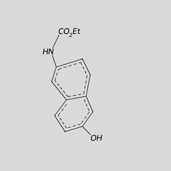 CCOC(=O)Nc1ccc2cc(O)ccc2c1